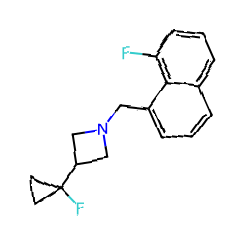 Fc1cccc2cccc(CN3CC(C4(F)CC4)C3)c12